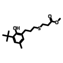 COC(=O)CCSCCCc1cc(C)cc(C(C)(C)C)c1O